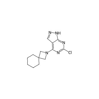 Clc1nc(N2CC3(CCCCC3)C2)c2cn[nH]c2n1